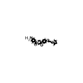 CC1CCCN1CCCOc1ccc(N2CCN(C(=O)c3ccc(N)cc3)CC2=O)cc1